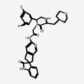 O=C(CN1C(=O)C(CC2CCOCC2)NCC1c1cc(F)cc(F)c1)Nc1cc2c(cn1)CC1(C2)C(=O)Nc2ccccc21